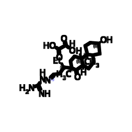 CC[C@H](C/C=N/NC(=N)N)[C@@]1(C)CC[C@H]2[C@@H](CCC3C[C@@H](O)CC[C@@]32C)C1=O.O=C(O)C(=O)O